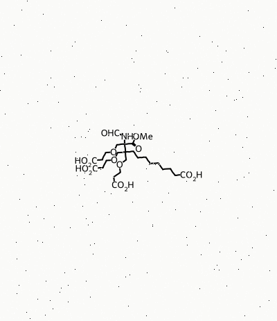 COC(=O)C(COCCC(=O)O)(NC=O)C(CCCCCCCCC(=O)O)(COCCC(=O)O)COCCC(=O)O